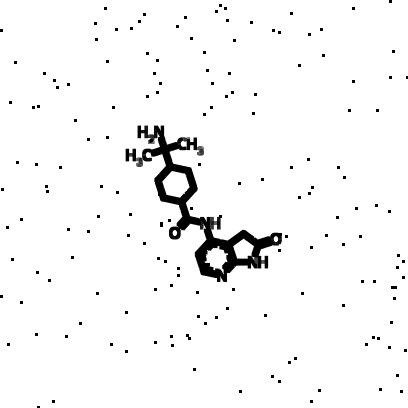 CC(C)(N)C1CCC(C(=O)Nc2ccnc3c2CC(=O)N3)CC1